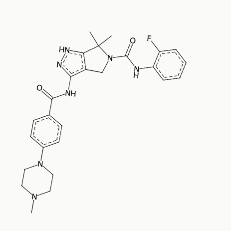 CN1CCN(c2ccc(C(=O)Nc3n[nH]c4c3CN(C(=O)Nc3ccccc3F)C4(C)C)cc2)CC1